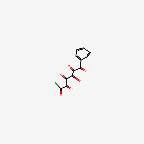 O=C(Cl)C(=O)C(=O)C(=O)C(=O)C(=O)c1ccccc1